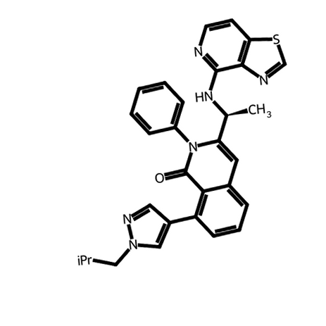 CC(C)Cn1cc(-c2cccc3cc([C@H](C)Nc4nccc5scnc45)n(-c4ccccc4)c(=O)c23)cn1